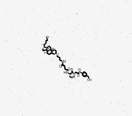 CC(C)CCC[C@@H](C)[C@H]1CC[C@H]2[C@@H]3CC=C4C[C@@H](OCCCNC(=O)CCC(=O)N[C@@H](CC(C)C)C(=O)NCC(=O)Nc5ccc(CO)cc5)CC[C@]4(C)[C@H]3CC[C@]12C